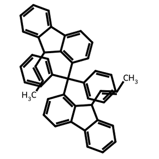 CC=CC1c2ccccc2-c2cccc(C(c3ccccc3)(c3ccccc3)c3cccc4c3C(C=CC)c3ccccc3-4)c21